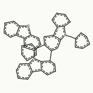 c1ccc(-c2cc3c4ccccc4n(-c4ccccc4)c3cc2-c2cccc3c4ccccc4n(-c4ccc5oc6ccccc6c5c4)c23)cc1